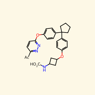 CC(=O)c1ccc(Oc2ccc(C3(c4ccc(OC5CC(NC(=O)O)C5)cc4)CCCC3)cc2)nn1